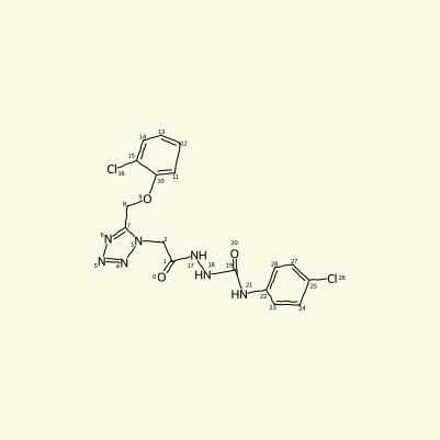 O=C(Cn1nnnc1COc1ccccc1Cl)NNC(=O)Nc1ccc(Cl)cc1